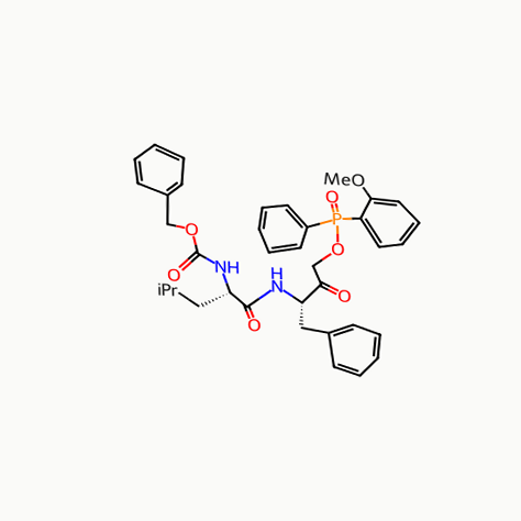 COc1ccccc1P(=O)(OCC(=O)[C@H](Cc1ccccc1)NC(=O)[C@H](CC(C)C)NC(=O)OCc1ccccc1)c1ccccc1